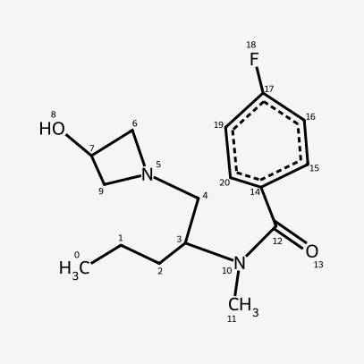 CCCC(CN1CC(O)C1)N(C)C(=O)c1ccc(F)cc1